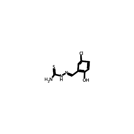 NC(=S)NN=Cc1cc(Cl)ccc1O